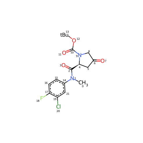 CN(C(=O)[C@@H]1CC(=O)CN1C(=O)OC(C)(C)C)c1ccc(F)c(Cl)c1